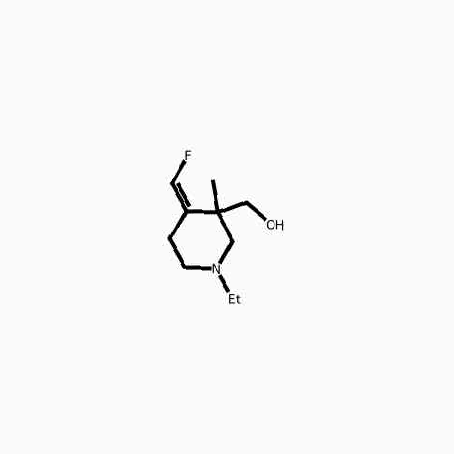 CCN1CCC(=CF)C(C)(CO)C1